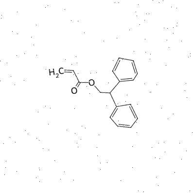 C=CC(=O)OCC(c1ccccc1)c1ccccc1